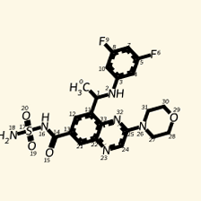 CC(Nc1cc(F)cc(F)c1)c1cc(C(=O)NS(N)(=O)=O)cc2ncc(N3CCOCC3)nc12